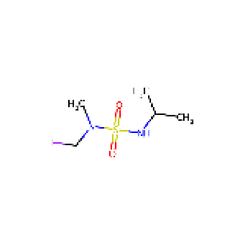 CC(C)NS(=O)(=O)N(C)CI